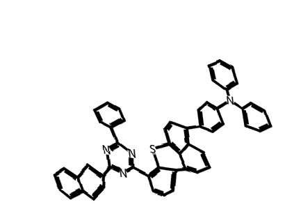 c1ccc(-c2nc(-c3ccc4ccccc4c3)nc(-c3cccc4c3Sc3ccc(-c5ccc(N(c6ccccc6)c6ccccc6)cc5)c5cccc-4c35)n2)cc1